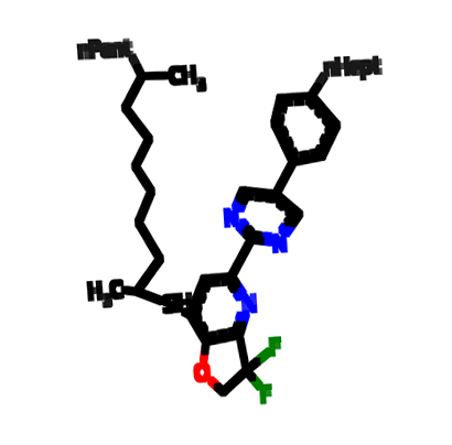 CCCCCCCc1ccc(-c2cnc(-c3cc([SiH2]C(C)CCCCCCC(C)CCCCC)c4c(n3)C(F)(F)CO4)nc2)cc1